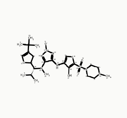 CC(C)[C@H](C1CC(C(C)(C)C)=CO1)N(C)c1n[s+]([O-])nc1Nc1csc(S(=O)(=O)N2CCN(C)CC2)c1O